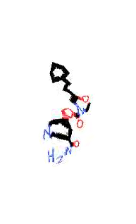 NC(=O)c1cncc(OC(=O)N2CCOC(CCc3ccccc3)C2)c1